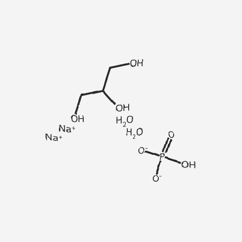 O.O.O=P([O-])([O-])O.OCC(O)CO.[Na+].[Na+]